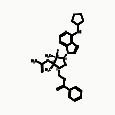 CC(=O)O[C@@]1(C)[C@@H](COC(=O)c2ccccc2)O[C@@H](n2cnc3c(NC4CCCC4)ncnc32)[C@]1(C)F